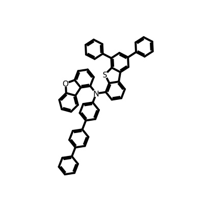 c1ccc(-c2ccc(-c3ccc(N(c4cccc5c4sc4c(-c6ccccc6)cc(-c6ccccc6)cc45)c4cccc5oc6ccccc6c45)cc3)cc2)cc1